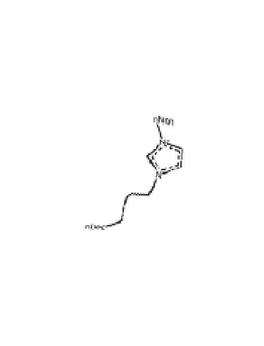 CCCCCCCCCCCCCn1cc[n+](CCCCCCCCC)c1